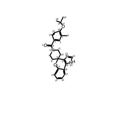 Cc1cc(C(=O)N2CCC3(CC2)Oc2ccccc2-c2[nH]cnc23)ccc1OC(C)C